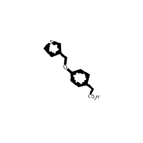 O=C(O)Cc1ccc(OCc2ccsc2)cc1